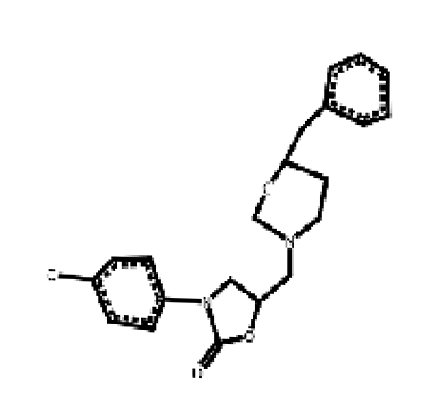 O=C1OC(CN2CCC(Cc3ccccc3)CC2)CN1c1ccc(Cl)cc1